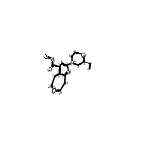 CC[C@H]1CN(c2cc(C(=O)N=O)c3c(n2)CCOCC3)CCO1